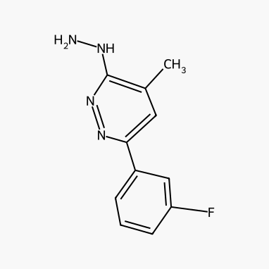 Cc1cc(-c2cccc(F)c2)nnc1NN